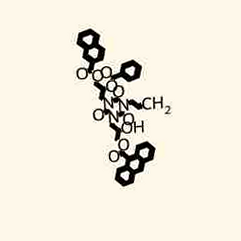 C=CCn1c(=O)n(CC(O)COC(=O)c2c3ccccc3cc3ccccc23)c(=O)n(CC(COC(=O)c2ccc3ccccc3c2)OC(=O)c2ccccc2)c1=O